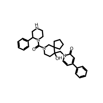 O=C(N1CCC(O)(Cn2ccc(-c3ccccc3)cc2=O)C2(CCCC2)C1)N1CCNCC1c1ccccc1